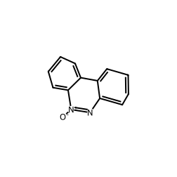 [O-][n+]1nc2ccccc2c2ccccc21